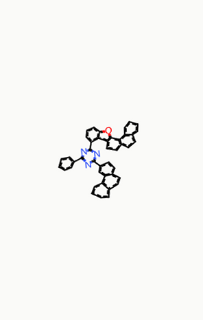 c1ccc(-c2nc(-c3ccc4ccc5ccccc5c4c3)nc(-c3cccc4oc5c(ccc6ccc7ccccc7c65)c34)n2)cc1